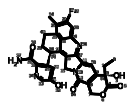 CC[C@@]1(O)C(=O)OCc2c1cc1n(c2=O)Cc2c-1nc1cc(F)c(C)c3c1c2[C@@H](c1cc(O)cnc1C(N)=O)CC3